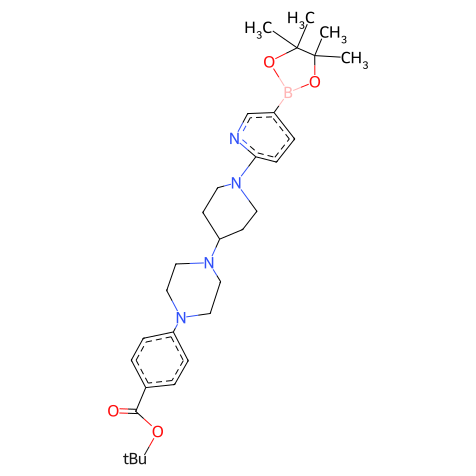 CC(C)(C)OC(=O)c1ccc(N2CCN(C3CCN(c4ccc(B5OC(C)(C)C(C)(C)O5)cn4)CC3)CC2)cc1